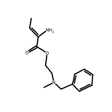 CC=C(N)C(=O)OCCN(C)Cc1ccccc1